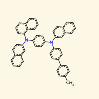 Cc1ccc(-c2ccc(N(c3ccc(N(c4ccc5ccccc5c4)c4cccc5ccccc45)cc3)c3ccc4ccccc4c3)cc2)cc1